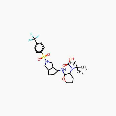 CC(C)(C)N(C(=O)O)C1CCCOC1NC1CCC2CN(S(=O)(=O)c3ccc(C(F)(F)F)cc3)CC21